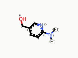 CCN(CC)c1ccc(CO)cn1